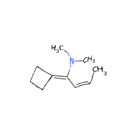 C/C=C\C(=C1CCC1)N(C)C